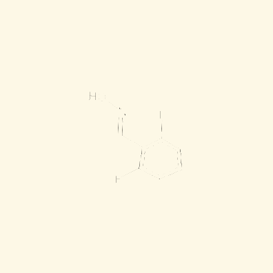 O/N=C/c1c(F)cccc1F